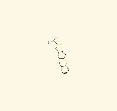 CCN(CC)C(=S)Oc1ccc2c(c1)Oc1ccccc1S2